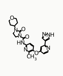 Cc1nc(NC(=O)N2CCN(C3CCOCC3)C2=O)ccc1Oc1ccnc(-c2cn[nH]c2)c1